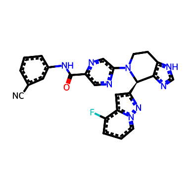 N#Cc1cccc(NC(=O)c2cnc(N3CCc4[nH]cnc4[C@H]3c3cc4c(F)cccn4n3)cn2)c1